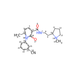 Cc1ccc(C(=O)NCCC2CCCN2C)c(=O)n1-c1cccc(C#N)c1